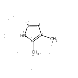 Cc1[c]n[nH]c1C